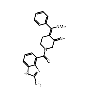 CN/C(=C1/CCN(C(=O)c2cccc3[nH]c(C(F)(F)F)nc23)CC1=N)c1ccccc1